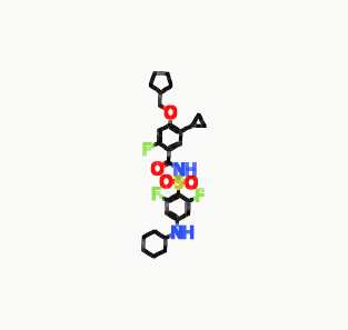 O=C(NS(=O)(=O)c1c(F)cc(NC2CCCCC2)cc1F)c1cc(C2CC2)c(OCC2CCCC2)cc1F